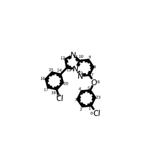 Clc1cccc(Oc2ccc3ncc(-c4cccc(Cl)c4)n3n2)c1